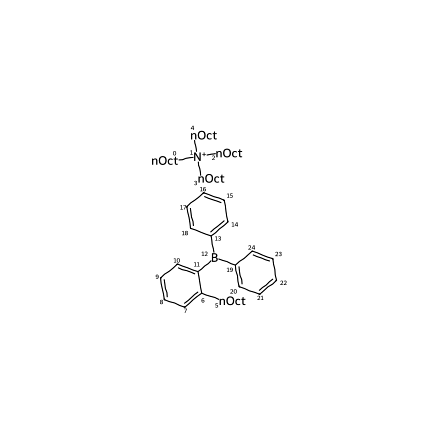 CCCCCCCC[N+](CCCCCCCC)(CCCCCCCC)CCCCCCCC.CCCCCCCCc1ccccc1B(c1ccccc1)c1ccccc1